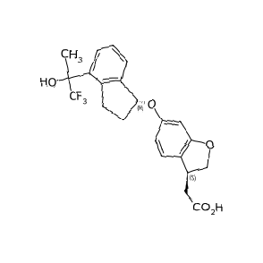 CC(O)(c1cccc2c1CC[C@H]2Oc1ccc2c(c1)OC[C@H]2CC(=O)O)C(F)(F)F